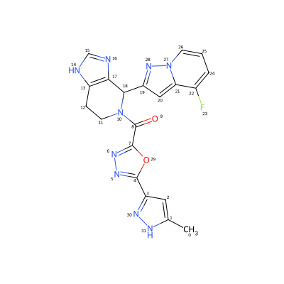 Cc1cc(-c2nnc(C(=O)N3CCc4[nH]cnc4C3c3cc4c(F)cccn4n3)o2)n[nH]1